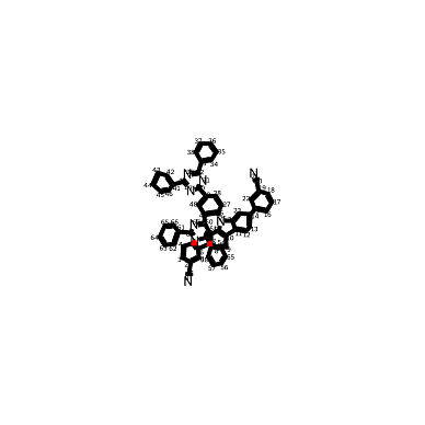 N#Cc1cccc(-c2ccc3c4ccc(-c5cccc(C#N)c5)cc4n(-c4ccc(-c5nc(-c6ccccc6)nc(-c6ccccc6)n5)cc4-c4cc(-c5ccccc5)nc(-c5ccccc5)n4)c3c2)c1